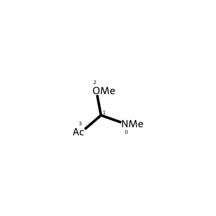 CNC(OC)C(C)=O